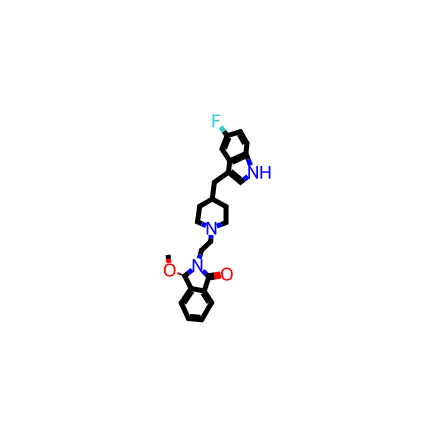 CO[C@H]1c2ccccc2C(=O)N1CCN1CCC(Cc2c[nH]c3ccc(F)cc23)CC1